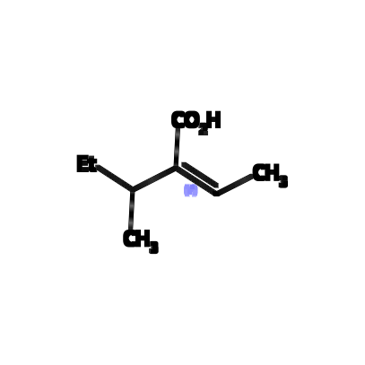 C/C=C(\C(=O)O)C(C)CC